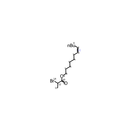 CCCC/C=C\CCCCCCOC(=O)C(C)Br